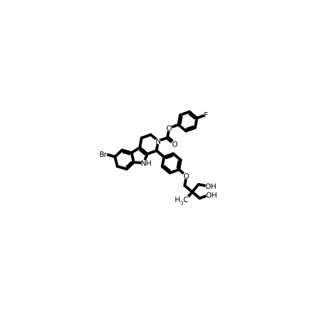 CC(CO)(CO)COc1ccc(C2c3[nH]c4c(c3CCN2C(=O)Oc2ccc(F)cc2)=CC(Br)CC=4)cc1